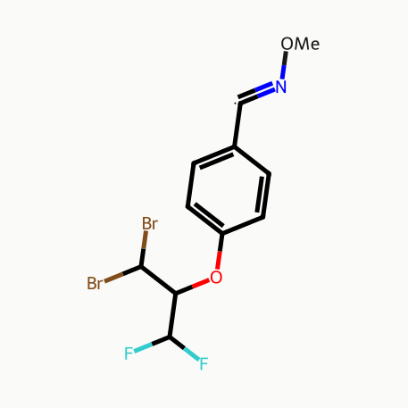 CON=[C]c1ccc(OC(C(F)F)C(Br)Br)cc1